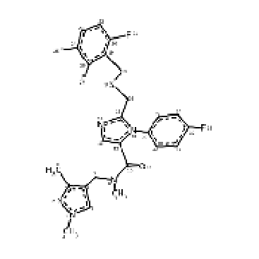 Cc1nn(C)cc1CN(C)C(=O)c1cnc(CSCc2c(F)ccc(F)c2F)n1-c1ccc(F)cc1